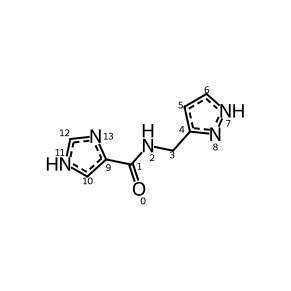 O=C(NCc1cc[nH]n1)c1c[nH]cn1